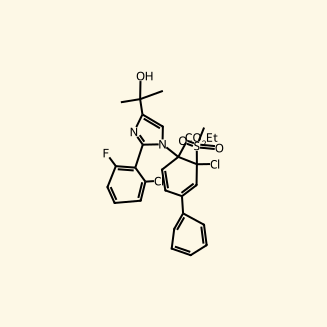 CCOC(=O)C1(n2cc(C(C)(C)O)nc2-c2c(F)cccc2Cl)C=CC(c2ccccc2)=CC1(Cl)S(C)(=O)=O